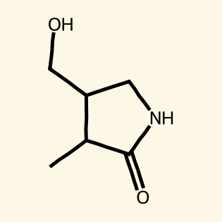 CC1C(=O)NCC1CO